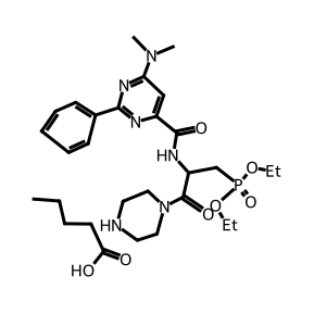 CCCCC(=O)O.CCOP(=O)(CC(NC(=O)c1cc(N(C)C)nc(-c2ccccc2)n1)C(=O)N1CCNCC1)OCC